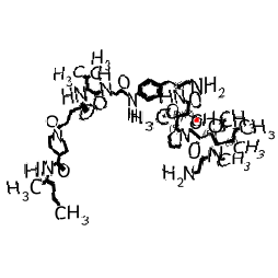 CCCCC(C)NC(=O)C1CCN(C(=O)CCC(=O)NC(C(=O)NCC(=O)Nc2ccc(C[C@@H](CN)NC(=O)[C@H](C)[C@@H](OC)[C@@H]3CCCN3C(=O)C[C@@H](OC)C([C@@H](C)CC)N(C)C(=O)CN)cc2)C(C)C)CC1